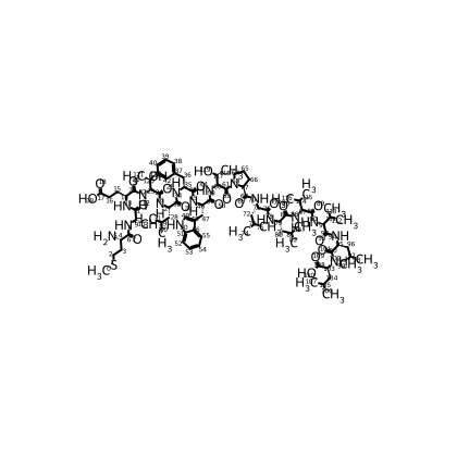 CSCC[C@H](N)C(=O)N[C@@H](C)C(=O)N[C@@H](CCC(=O)O)C(=O)N[C@H](C(=O)N[C@@H](CC(C)C)C(=O)N[C@@H](Cc1ccccc1)C(=O)N[C@@H](Cc1c[nH]c2ccccc12)C(=O)N[C@H](C(=O)N1CCC[C@H]1C(=O)N[C@@H](CC(C)C)C(=O)N[C@@H](CC(C)C)C(=O)N[C@H](C(=O)N[C@H](C(=O)N[C@@H](CC(C)C)C(=O)N[C@@H](CC(C)C)C(=O)O)C(C)C)C(C)C)[C@@H](C)O)[C@@H](C)O